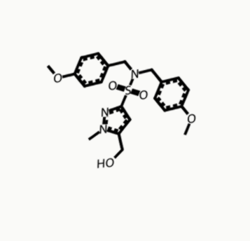 COc1ccc(CN(Cc2ccc(OC)cc2)S(=O)(=O)c2cc(CO)n(C)n2)cc1